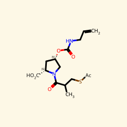 C=CCNC(=O)O[C@H]1C[C@@H](C(=O)O)N(C(=O)C(C)CSC(C)=O)C1